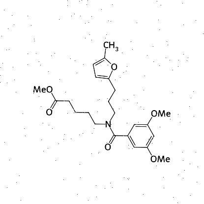 COC(=O)CCCCN(CCCc1ccc(C)o1)C(=O)c1cc(OC)cc(OC)c1